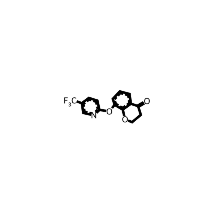 O=C1CCOc2c(Oc3ccc(C(F)(F)F)cn3)cccc21